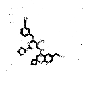 C#Cc1cccc(C[C@H](NC(=O)[C@@H]2CCCO2)[C@@H](O)CN[C@H]2CC3(CCC3)Oc3ncc(CC(C)(C)C)cc32)c1